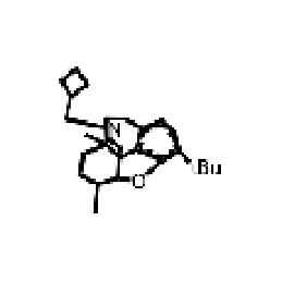 CC1CCC2(C)C3Cc4ccc(C(C)(C)C)c5c4C2(CCN3CC2CCC2)C1O5